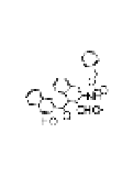 O=[C]c1c(NC(=O)OCc2ccccc2)cc2ccccc2c1C(=O)c1cc2ccccc2cc1O